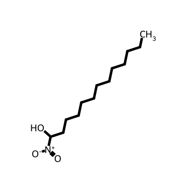 CCCCCCCCCCCCC(O)[N+](=O)[O-]